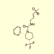 CS(=O)(=O)/C=C/CNC(=O)N1CC[C@H](C(F)(F)F)C[C@@H]1c1ccccc1